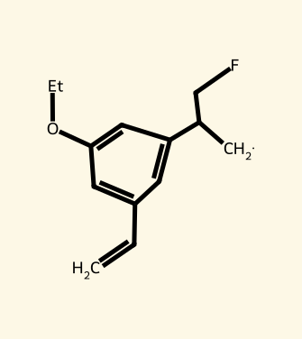 [CH2]C(CF)c1cc(C=C)cc(OCC)c1